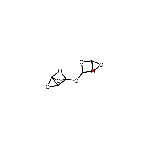 O1C2C13OC2(OC12OC4(OC41)O2)O3